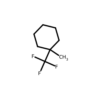 CC1(C(F)(F)F)CCCCC1